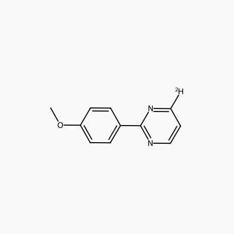 [2H]c1ccnc(-c2ccc(OC)cc2)n1